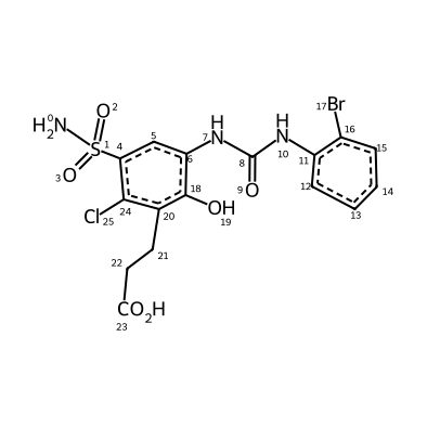 NS(=O)(=O)c1cc(NC(=O)Nc2ccccc2Br)c(O)c(CCC(=O)O)c1Cl